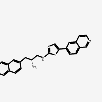 N[C@@H](CNc1ncc(-c2ccc3cnccc3c2)s1)Cc1ccc2ccccc2c1